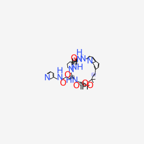 CC(C)[C@@H]1OC(=O)C(C)(C)/C=C/c2ccc3ccc(nc3c2)N(C)NC(=O)[C@@H]2CCCN(N2)C(=O)[C@H](CCC(=O)NCc2cccnc2)NC1=O